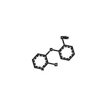 COc1ccccc1Oc1cccnc1Cl